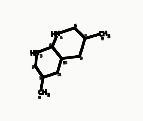 CC1CNC2NCC(C)CC2C1